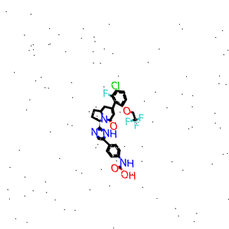 O=C(O)Nc1ccc(-c2cnc([C@@H]3CCC4CC(c5c(OCC(F)(F)F)ccc(Cl)c5F)=CC(=O)N43)[nH]2)cc1